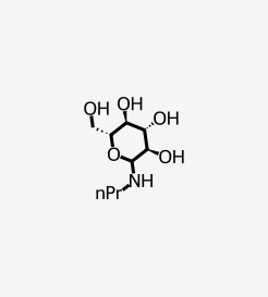 CCCNC1O[C@H](CO)[C@@H](O)[C@H](O)[C@H]1O